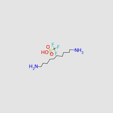 NCCCCCCCCCCN.O=S(=O)(O)C(F)(F)F